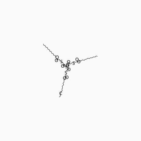 CCCCCCCCCCCCCCOC(=O)CCSCCC(=O)N1CN(C(=O)CCSCCC(=O)OCCCCCCCCCCCCCC)CN(C(=O)CCSCCC(=O)OCCCCCCCCCCCCCC)C1